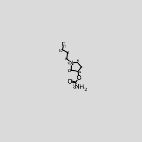 NC(=O)OC1CCN(CCCF)C1